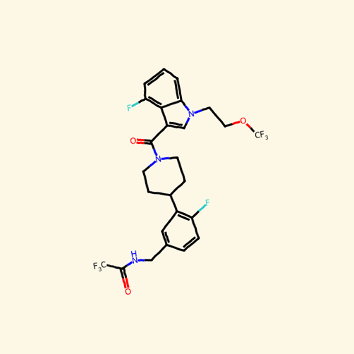 O=C(c1cn(CCOC(F)(F)F)c2cccc(F)c12)N1CCC(c2cc(CNC(=O)C(F)(F)F)ccc2F)CC1